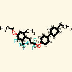 CCOc1cc(C)c(CCC(F)(F)Oc2ccc(-c3ccc(CC)cc3)cc2)c(C(F)(F)F)c1F